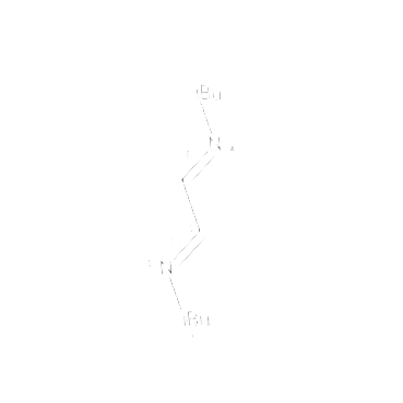 CCC(C)/N=C/C=N/C(C)CC